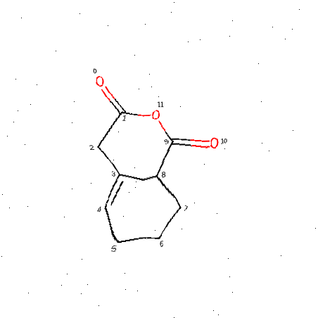 O=C1CC2=CCCCC2C(=O)O1